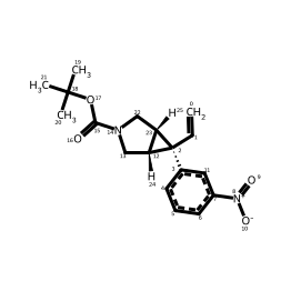 C=C[C@@]1(c2cccc([N+](=O)[O-])c2)[C@@H]2CN(C(=O)OC(C)(C)C)C[C@@H]21